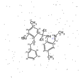 CCC(CC)(Pc1ccc(C)cc1/C=N/C)c1cc(C)cc(C(C)(C)C)c1OCc1ccccc1